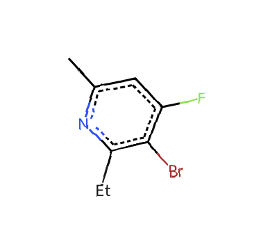 CCc1nc(C)cc(F)c1Br